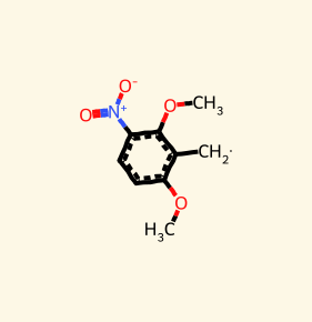 [CH2]c1c(OC)ccc([N+](=O)[O-])c1OC